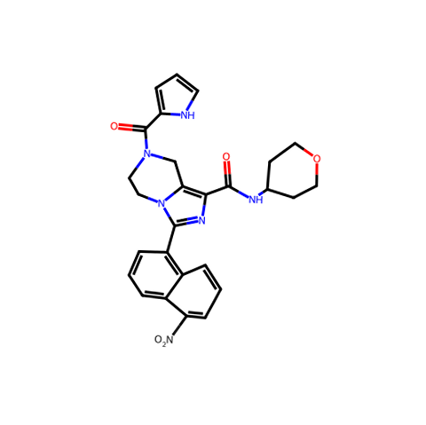 O=C(NC1CCOCC1)c1nc(-c2cccc3c([N+](=O)[O-])cccc23)n2c1CN(C(=O)c1ccc[nH]1)CC2